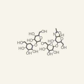 CC1=NC2[C@@H](O1)OC(CO)[C@@H](O[C@@H]1OC(CO[C@H]3OC(CO)[C@@H](O)[C@H](O)C3O[C@H]3CC(CO)[C@@H](O)[C@H](O)C3O)[C@@H](O)C(O)[C@@H]1O)[C@@H]2O